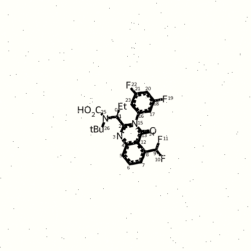 CC[C@@H](c1nc2cccc(C(F)F)c2c(=O)n1-c1cc(F)cc(F)c1)N(C(=O)O)C(C)(C)C